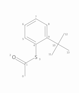 CC(=O)Sc1ccccc1C(C)(C)C